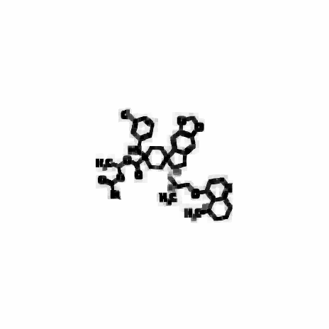 CCC(=O)OC(C)OC(=O)C1(Nc2cccc(Cl)c2)CCC2(CC1)c1cc3c(cc1C[C@@H]2C[C@@H](C)COc1ccnc2c1[C@H](C)CCC2)OCO3